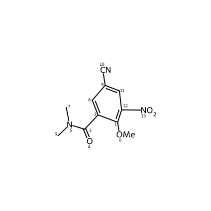 COc1c(C(=O)N(C)C)cc(C#N)cc1[N+](=O)[O-]